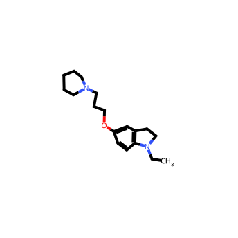 CCN1CCc2cc(OCCCN3CCCCC3)ccc21